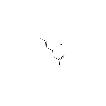 CC=CC=CC(=O)O.[Zn]